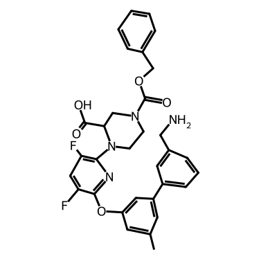 Cc1cc(Oc2nc(N3CCN(C(=O)OCc4ccccc4)CC3C(=O)O)c(F)cc2F)cc(-c2cccc(CN)c2)c1